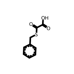 O=C(O)C(=O)SCc1ccccc1